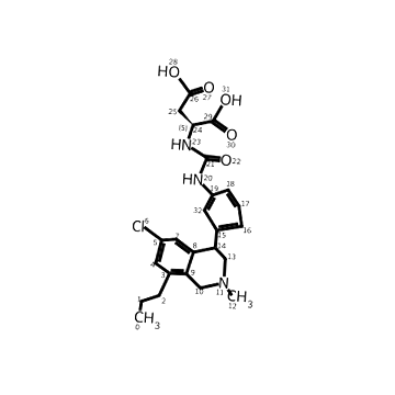 CCCc1cc(Cl)cc2c1CN(C)CC2c1cccc(NC(=O)N[C@@H](CC(=O)O)C(=O)O)c1